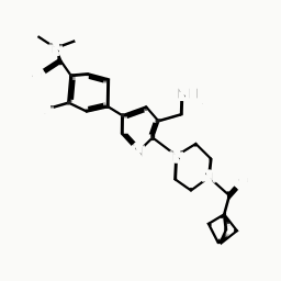 CN(C)C(=O)c1ccc(-c2cnc(N3CCN(C(=O)C45CC(C4)C5)CC3)c(CN)c2)cc1Cl